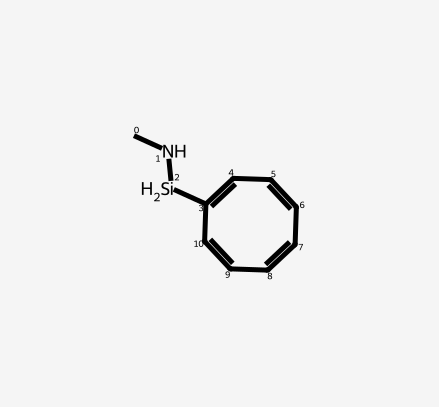 CN[SiH2]C1=CC=CC=CC=C1